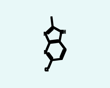 Cc1nc2nc(Cl)ccc2[nH]1